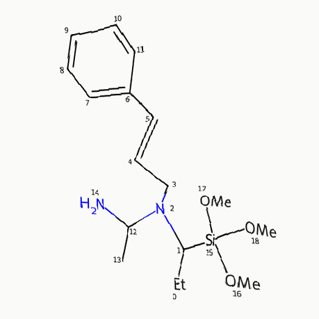 CCC(N(CC=Cc1ccccc1)C(C)N)[Si](OC)(OC)OC